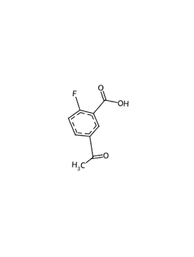 CC(=O)c1ccc(F)c(C(=O)O)c1